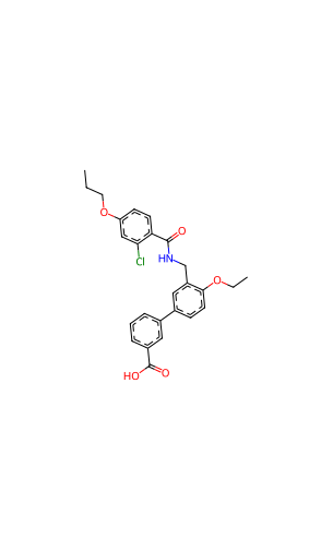 CCCOc1ccc(C(=O)NCc2cc(-c3cccc(C(=O)O)c3)ccc2OCC)c(Cl)c1